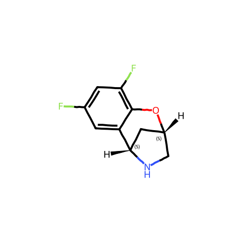 Fc1cc(F)c2c(c1)[C@@H]1C[C@@H](CN1)O2